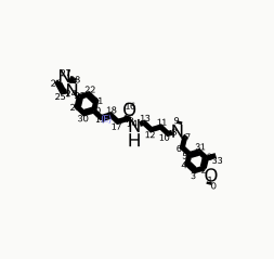 COc1ccc(CCN(C)CCCCNC(=O)C/C=C/c2ccc(-n3ccnc3)cc2)cc1C